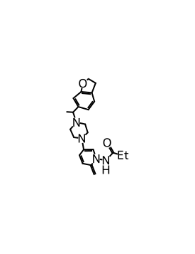 C=C1C=CC(N2CCN(C(C)c3ccc4c(c3)OCC4)CC2)=CN1NC(=O)CC